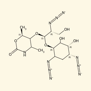 CC1NC(=O)O[C@@H](C)C1O[C@H](O[C@@H]1C(N=[N+]=[N-])C[C@@H](N=[N+]=[N-])[C@@H](O)C1O)[C@@H](CO)N=[N+]=[N-]